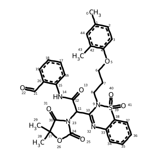 Cc1ccc(OCCCN2C(C(C(=O)Nc3ccccc3C=O)N3C(=O)OC(C)(C)C3=O)=Nc3ccccc3S2(=O)=O)c(C)c1